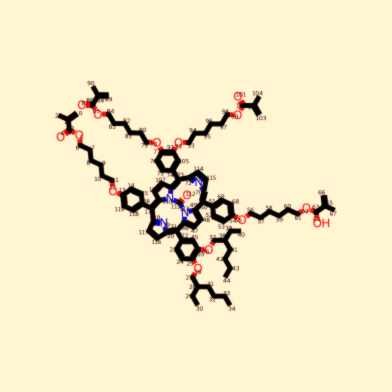 C=C(C)C(=O)OCCCCCCOc1ccc(-c2c3nc(c(-c4ccc(OCC(CC)CCCC)c(OCC(CC)CCCC)c4)c4ccc5c(-c6ccc(OCCCCCCOC(O)C(=C)C)cc6)c6nc(c(-c7ccc(OCCCCCCOC(=O)C(=C)C)c(OCCCCCCOC(=O)C(=C)C)c7)c7ccc2n7c(=O)n54)C=C6)C=C3)cc1